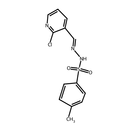 Cc1ccc(S(=O)(=O)NN=Cc2cccnc2Cl)cc1